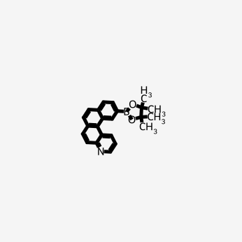 CC1(C)OB(c2ccc3ccc4ccc5ncccc5c4c3c2)OC1(C)C